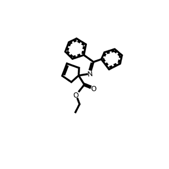 CCOC(=O)C1(N=C(c2ccccc2)c2ccccc2)CC=CC1